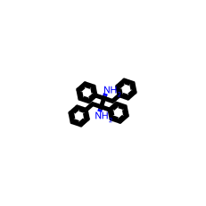 NC(Cc1ccccc1)(c1ccccc1)C(N)(Cc1ccccc1)c1ccccc1